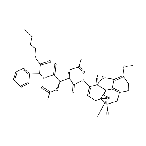 CCCCOC(=O)[C@@H](OC(=O)[C@H](OC(C)=O)[C@@H](OC(C)=O)C(=O)OC1=CC[C@@]2(O)[C@H]3Cc4ccc(OC)c5c4[C@@]2(CCN3C)[C@H]1O5)c1ccccc1